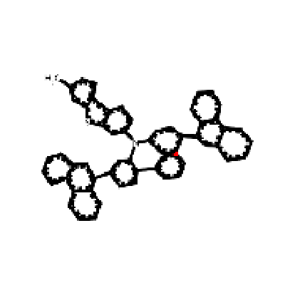 Cc1ccc2c(c1)sc1cc(N(c3ccc(-c4cc5ccccc5c5ccccc45)cc3)c3cc(-c4cc5ccccc5c5ccccc45)ccc3-c3ccccc3)ccc12